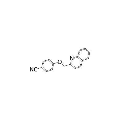 N#Cc1ccc(OCc2ccc3ccccc3n2)cc1